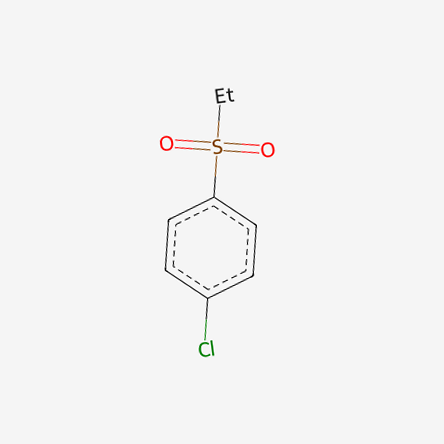 [CH2]CS(=O)(=O)c1ccc(Cl)cc1